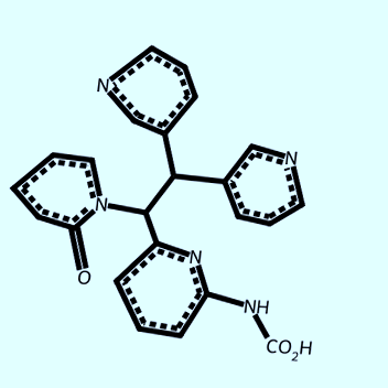 O=C(O)Nc1cccc(C(C(c2cccnc2)c2cccnc2)n2ccccc2=O)n1